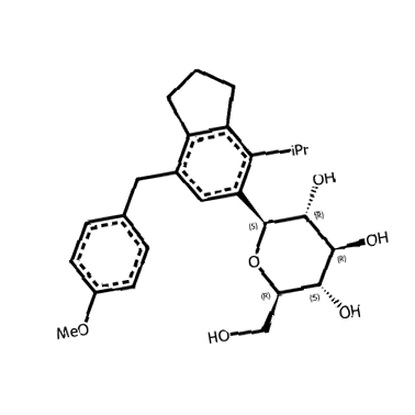 COc1ccc(Cc2cc([C@@H]3O[C@H](CO)[C@@H](O)[C@H](O)[C@H]3O)c(C(C)C)c3c2CCC3)cc1